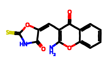 Nc1oc2ccccc2c(=O)c1/C=C1/OC(=S)NC1=O